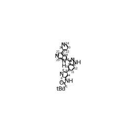 CC(C)(C)CC(=O)Nc1cncc(-c2ccc3[nH]nc(-c4cc5c(-c6cccnc6)cncc5[nH]4)c3c2)c1